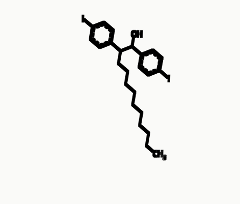 CCCCCCCCCCC(c1ccc(I)cc1)C(O)c1ccc(I)cc1